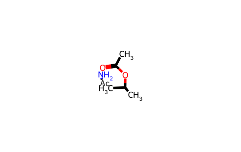 CC(=O)OC(C)C.CC(N)=O